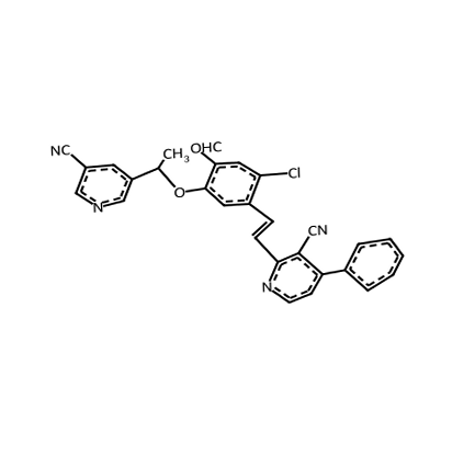 CC(Oc1cc(C=Cc2nccc(-c3ccccc3)c2C#N)c(Cl)cc1C=O)c1cncc(C#N)c1